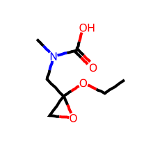 CCOC1(CN(C)C(=O)O)CO1